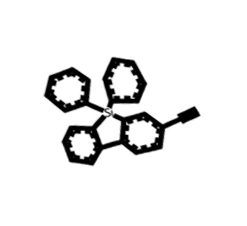 C#Cc1ccc2c(c1)[Si](c1ccccc1)(c1ccccc1)c1ccccc1-2